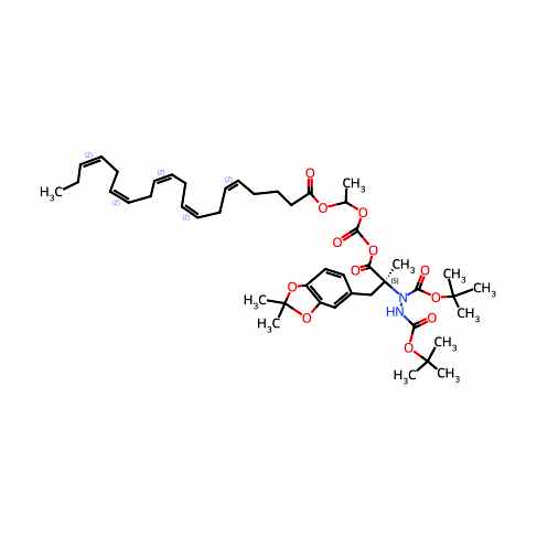 CC/C=C\C/C=C\C/C=C\C/C=C\C/C=C\CCCC(=O)OC(C)OC(=O)OC(=O)[C@](C)(Cc1ccc2c(c1)OC(C)(C)O2)N(NC(=O)OC(C)(C)C)C(=O)OC(C)(C)C